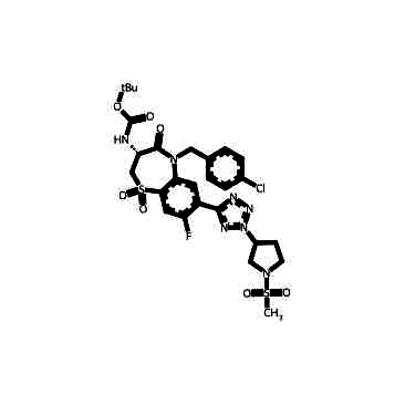 CC(C)(C)OC(=O)N[C@H]1CS(=O)(=O)c2cc(F)c(-c3nnn(C4CCN(S(C)(=O)=O)C4)n3)cc2N(Cc2ccc(Cl)cc2)C1=O